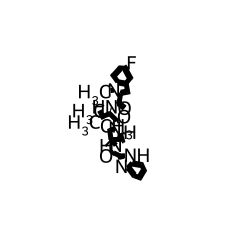 Cn1c(C(=O)N[C@H](C(=O)N2C[C@@H]3C[C@H]2CN3C(=O)c2nc3ccccc3[nH]2)C(C)(C)C)cc2cc(F)ccc21